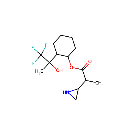 CC(C(=O)OC1CCCCC1C(C)(O)C(F)(F)F)C1CN1